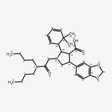 CCCCN(CCCC)C(=O)CN1CC(c2ccc3c(c2)OCO3)C(C(=O)O)C1C1C=CC=CC1(C)C